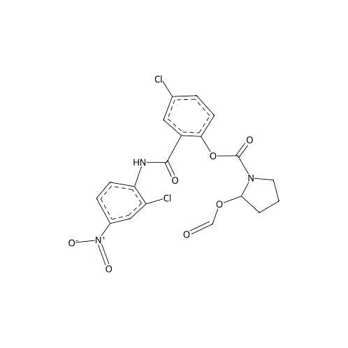 O=COC1CCCN1C(=O)Oc1ccc(Cl)cc1C(=O)Nc1ccc([N+](=O)[O-])cc1Cl